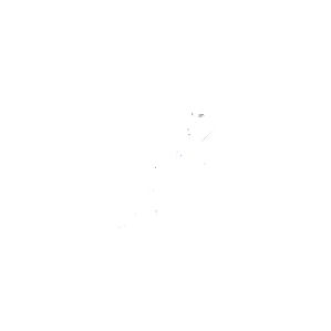 Cc1cc(F)ccc1N1CCC(N2CCN3C(=O)CC[C@H]3C2)CC1C(=O)O